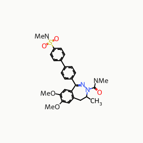 CNC(=O)N1N=C(c2ccc(-c3ccc(S(=O)(=O)NC)cc3)cc2)c2cc(OC)c(OC)cc2CC1C